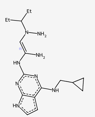 CCC(CC)N(N)/C=C(\N)Nc1nc(NCC2CC2)c2cc[nH]c2n1